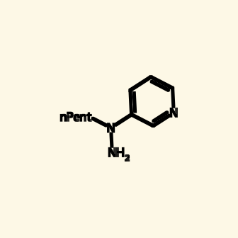 CCCCCN(N)c1cccnc1